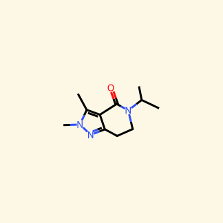 Cc1c2c(nn1C)CCN(C(C)C)C2=O